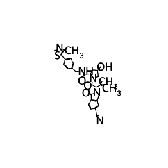 Cc1ncsc1-c1ccc(CNC(=O)[C@@H]2C[C@@H](O)CN2C(=O)C(C(C)C)N2Cc3cc(C#N)ccc3C2=O)cc1